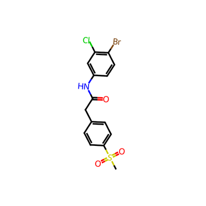 CS(=O)(=O)c1ccc(CC(=O)Nc2ccc(Br)c(Cl)c2)cc1